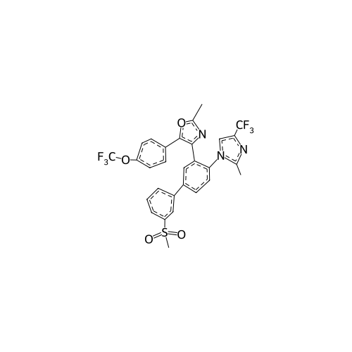 Cc1nc(-c2cc(-c3cccc(S(C)(=O)=O)c3)ccc2-n2cc(C(F)(F)F)nc2C)c(-c2ccc(OC(F)(F)F)cc2)o1